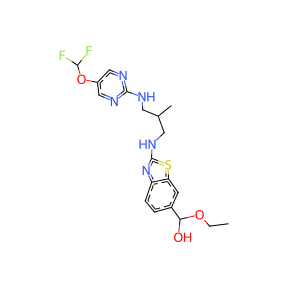 CCOC(O)c1ccc2nc(NCC(C)CNc3ncc(OC(F)F)cn3)sc2c1